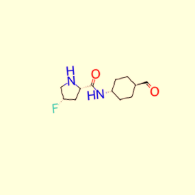 O=C[C@H]1CC[C@H](NC(=O)[C@@H]2C[C@H](F)CN2)CC1